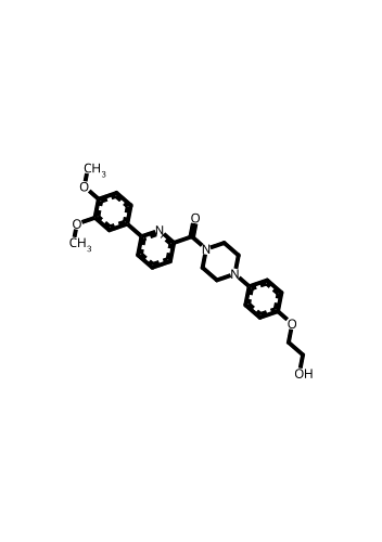 COc1ccc(-c2cccc(C(=O)N3CCN(c4ccc(OCCO)cc4)CC3)n2)cc1OC